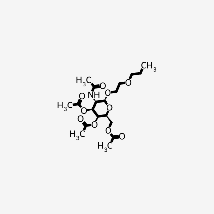 CCCOCCO[C@@H]1O[C@@H](COC(C)=O)[C@@H](OC(C)=O)[C@@H](OC(C)=O)[C@@H]1NC(C)=O